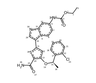 CCOC(=O)Nc1ccn2c(-c3cc(O[C@H](C)c4ccccc4Cl)c(C(N)=O)s3)cnc2c1